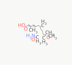 CC(N)=O.COC(C)(C)CCCC(C)C/C=C/C(C)=C/C(=O)O